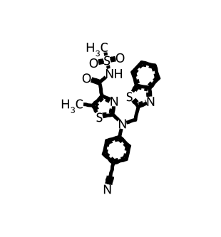 Cc1sc(N(Cc2nc3ccccc3s2)c2ccc(C#N)cc2)nc1C(=O)NS(C)(=O)=O